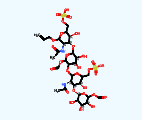 C=CCOC1OC(COS(=O)(=O)O)[C@H](O)[C@H](OC2OC(OC=O)C(OC3OC(COS(=O)(=O)O)[C@H](O)[C@H](O[C@@H]4OC(OC=O)[C@@H](O)[C@H](O)C4O)[C@@H]3NC(C)=O)[C@H](O)[C@@H]2O)[C@@H]1NC(C)=O